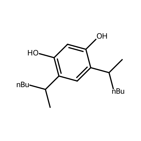 CCCCC(C)c1cc(C(C)CCCC)c(O)cc1O